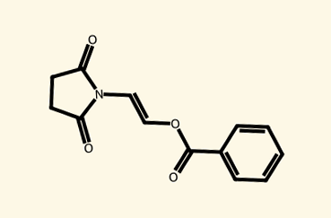 O=C(OC=CN1C(=O)CCC1=O)c1ccccc1